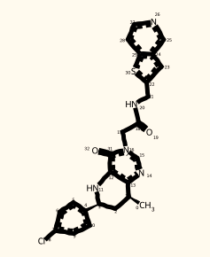 C[C@H]1C[C@@H](c2ccc(Cl)cc2)Nc2c1ncn(CC(=O)NCc1cc3cnccc3s1)c2=O